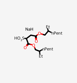 CCCCCC(CC)COC(=O)CC(C(=O)OCC(CC)CCCCC)S(=O)(=O)O.[NaH]